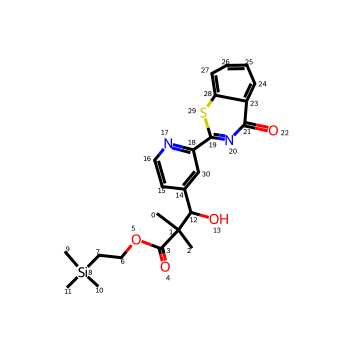 CC(C)(C(=O)OCC[Si](C)(C)C)C(O)c1ccnc(-c2nc(=O)c3ccccc3s2)c1